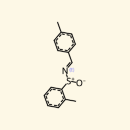 Cc1ccc(/C=N/[S+]([O-])c2ccccc2C)cc1